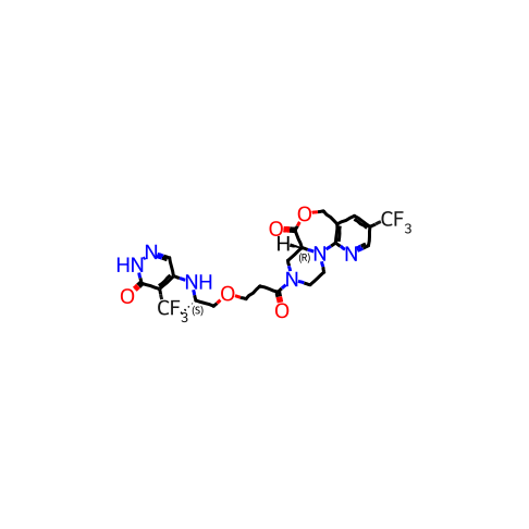 C[C@@H](COCCC(=O)N1CCN2c3ncc(C(F)(F)F)cc3COC(=O)[C@H]2C1)Nc1cn[nH]c(=O)c1C(F)(F)F